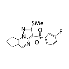 CSc1nn2c3c(cnc2c1S(=O)(=O)c1cccc(F)c1)CCC3